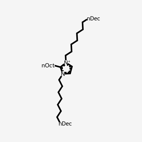 CCCCCCCCCCCCCCCCCn1cc[n+](CCCCCCCCCCCCCCCCC)c1CCCCCCCC